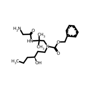 CCC[C@H](O)CCN(CC(C)(C)NC(=O)CN)C(=O)OCc1ccccc1